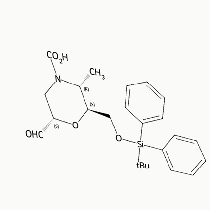 C[C@@H]1[C@@H](CO[Si](c2ccccc2)(c2ccccc2)C(C)(C)C)O[C@H](C=O)CN1C(=O)O